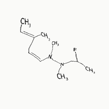 C/C=C(C)/C=C\N(C)N(C)C(C)F